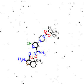 CC(C)(C)OC(=O)N1CCN(c2cc(Cl)nc(/C(N)=N/OC(=O)C3(C)CCCc4sc(N)c(C#N)c43)c2)CC1